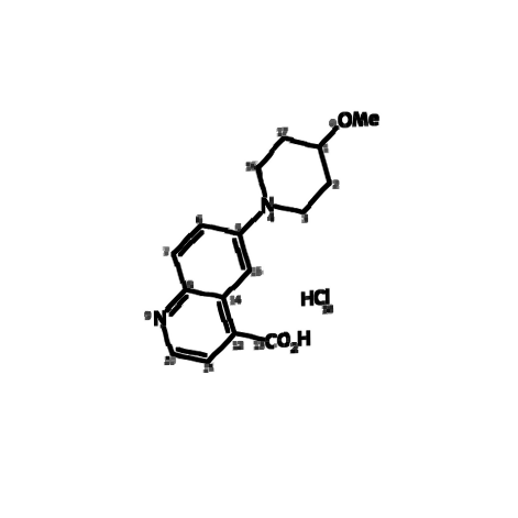 COC1CCN(c2ccc3nccc(C(=O)O)c3c2)CC1.Cl